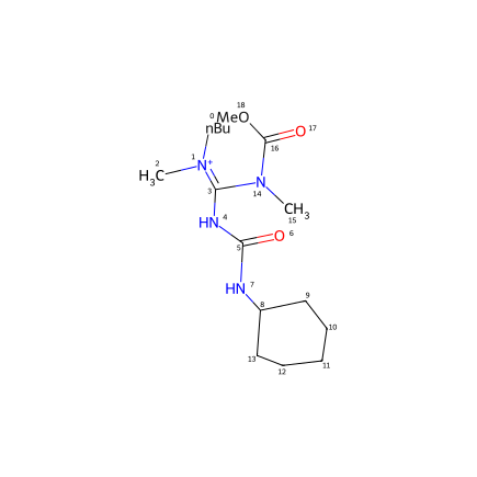 CCCC[N+](C)=C(NC(=O)NC1CCCCC1)N(C)C(=O)OC